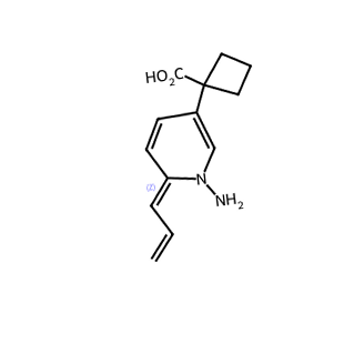 C=C/C=C1/C=CC(C2(C(=O)O)CCC2)=CN1N